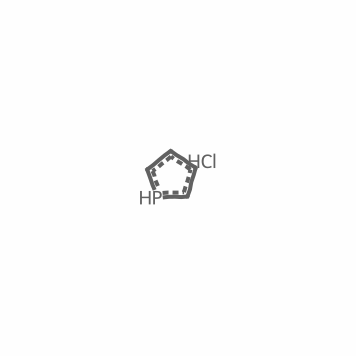 Cl.c1cc[pH]c1